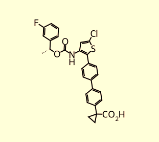 C[C@@H](OC(=O)Nc1cc(Cl)sc1-c1ccc(-c2ccc(C3(C(=O)O)CC3)cc2)cc1)c1cccc(F)c1